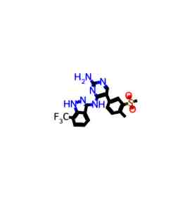 Cc1ccc(-c2cnc(N)nc2Nc2n[nH]c3c(C(F)(F)F)cccc23)cc1S(C)(=O)=O